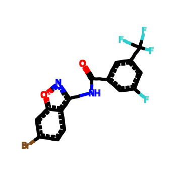 O=C(Nc1noc2cc(Br)ccc12)c1cc(F)cc(C(F)(F)F)c1